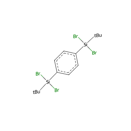 CC(C)(C)[Si](Br)(Br)c1ccc([Si](Br)(Br)C(C)(C)C)cc1